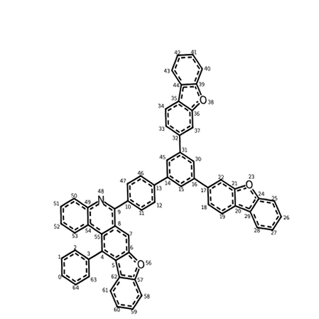 c1ccc(-c2c3c(cc4c(-c5ccc(-c6cc(-c7ccc8c(c7)oc7ccccc78)cc(-c7ccc8c(c7)oc7ccccc78)c6)cc5)nc5ccccc5c24)oc2ccccc23)cc1